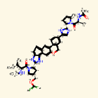 COC(=O)N[C@H](C(=O)N1[C@@H](C)CC[C@H]1c1ncc(-c2ccc3c(c2)COc2cc4c(ccc5nc([C@@H]6C[C@H](COC(F)F)CN6C(=O)[C@@H](NC(=O)O)[C@@H](C)OC)[nH]c54)cc2-3)[nH]1)C(C)C